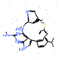 C=C/C1=C\c2cc(ccc2C(C)C)-c2c[nH]c3nc(NC)nc(c23)NCc2cc(ccn2)CS1